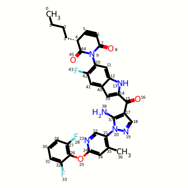 CCCC[C@@H]1C#CC(=O)N(c2cc3[nH]c(C(=O)c4cnn(-c5cnc(Oc6c(F)cccc6F)cc5C)c4N)cc3cc2F)C1=O